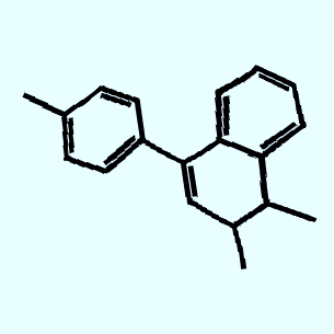 Cc1ccc(C2=CC(C)C(C)c3ccccc32)cc1